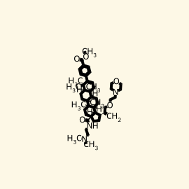 C=C(COCCN1CCOCC1)[C@@H]1CC[C@]2(C(=O)NCCN(C)C)CC[C@]3(C)[C@H](CC[C@@H]4[C@@]5(C)CC=C(c6ccc(C(=O)OC)cc6)C(C)(C)[C@@H]5CC[C@]43C)[C@@H]12